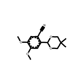 COc1cc(C#N)c(C2OCC(C)(C)CO2)cc1OC